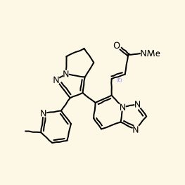 CNC(=O)/C=C/c1c(-c2c(-c3cccc(C)n3)nn3c2CCC3)ccc2ncnn12